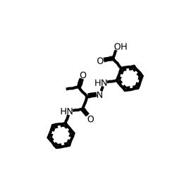 CC(=O)/C(=N\Nc1ccccc1C(=O)O)C(=O)Nc1ccccc1